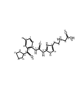 Cc1ccc(NC(=O)Nc2nc(CCNCC(=O)O)cs2)c(C(=O)C2CCCC2)c1